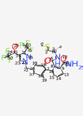 CSC[C@H](C)NC(=O)c1c(C(N)=O)cccc1-c1ccc(Cn2cc(C(=O)C(F)(F)F)c(C(F)(F)F)n2)cc1C